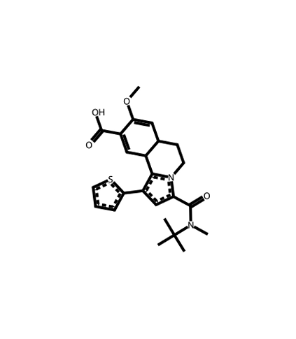 COC1=CC2CCn3c(C(=O)N(C)C(C)(C)C)cc(-c4cccs4)c3C2C=C1C(=O)O